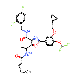 CC(NC(=O)CCC(=O)O)c1oc(-c2ccc(OC(F)F)c(OCC3CC3)c2)nc1C(=O)NCc1ccc(F)cc1F